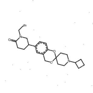 CC(C)CN1CC(c2ccc3c(c2)COC2(CCN(C4CCC4)CC2)O3)CCC1=O